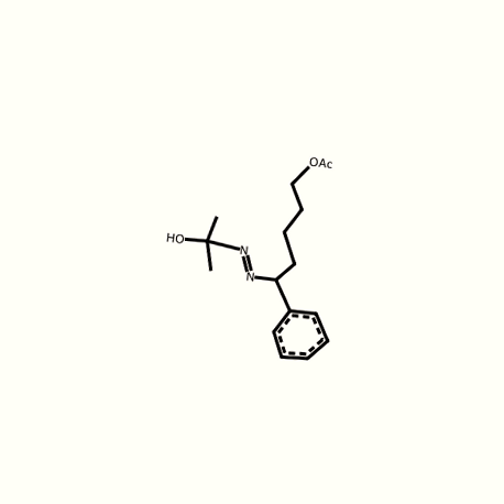 CC(=O)OCCCCC(N=NC(C)(C)O)c1ccccc1